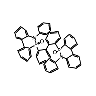 O=P1(c2ccccc2-c2ccccc2P2(=O)c3ccccc3-c3ccccc3N2c2ccccc2)c2ccccc2-c2ccccc2N1c1ccccc1